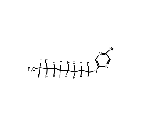 FC(F)(F)C(F)(F)C(F)(F)C(F)(F)C(F)(F)C(F)(F)C(F)(F)C(F)(F)C(F)(F)Oc1cnc(Br)cn1